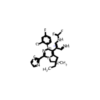 CC[C@]1(C)CC2=C(/C(C=N)=C/NC(F)F)[C@H](c3ccc(F)cc3Cl)N=C(c3nccs3)N2C1